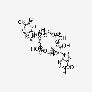 O=c1[nH]cnc2c1ncn2[C@@H]1O[C@@H]2COP(=O)(O)OC3C(O)[C@@H](COP(=O)(O)OC2C1O)O[C@H]3n1cnc2cc(Cl)c(Cl)cc21